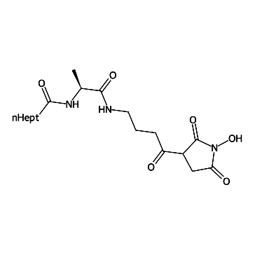 CCCCCCCC(=O)N[C@@H](C)C(=O)NCCCC(=O)C1CC(=O)N(O)C1=O